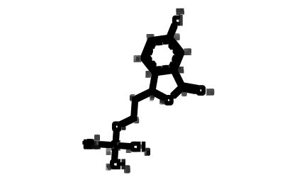 CC(C)(C)[Si](C)(C)OCCC1OC(=O)c2cc(Cl)ccc21